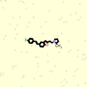 C[C@@H]1CCCN1CCc1cc2cc(C=Cc3ccc(F)cc3)ccc2o1